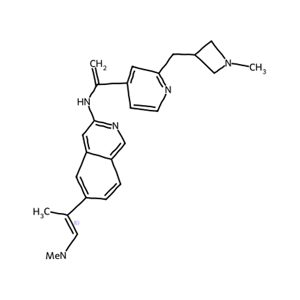 C=C(Nc1cc2cc(/C(C)=C/NC)ccc2cn1)c1ccnc(CC2CN(C)C2)c1